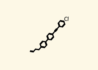 C=CCCc1ccc(-c2ccc(C#Cc3ccc(Cl)cc3)cc2)cc1